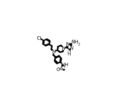 C[S+]([O-])Nc1ccc(CN(CCc2ccc(Cl)cc2)C2CCN(c3nc(N)n[nH]3)CC2)cc1